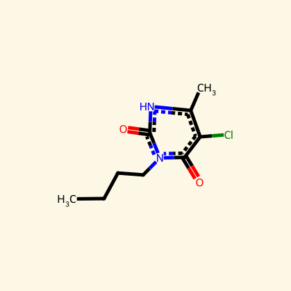 CCCCn1c(=O)[nH]c(C)c(Cl)c1=O